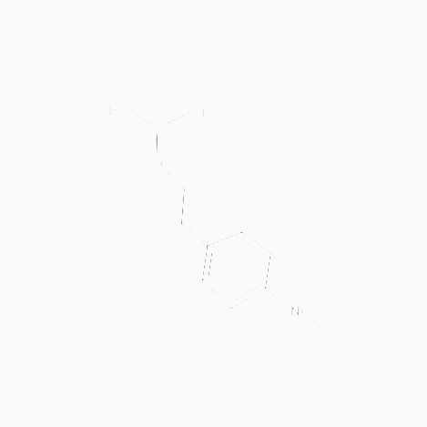 CP(C)OCCc1ccc([N+](=O)[O-])cc1